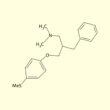 CSc1ccc(OCC(Cc2ccccc2)CN(C)C)cc1